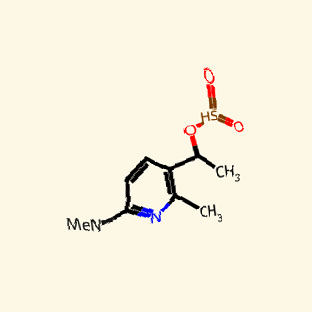 CNc1ccc(C(C)O[SH](=O)=O)c(C)n1